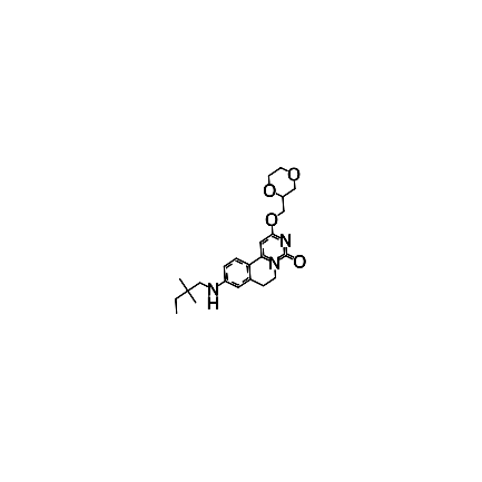 CCC(C)(C)CNc1ccc2c(c1)CCn1c-2cc(OCC2COCCO2)nc1=O